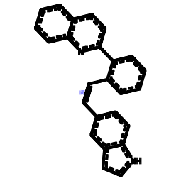 C(=C/c1ccccc1-c1ccc2ccccc2n1)/c1ccc2[nH]ccc2c1